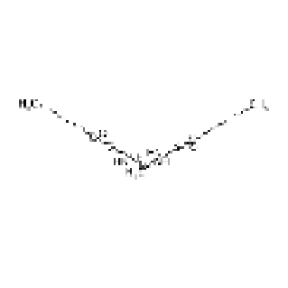 CCCCCCCCCCCCCCOC(=O)CCSCCCC(=N)NCCN(C)CCNC(=N)CCCSCCC(=O)OCCCCCCCCCCCCCC